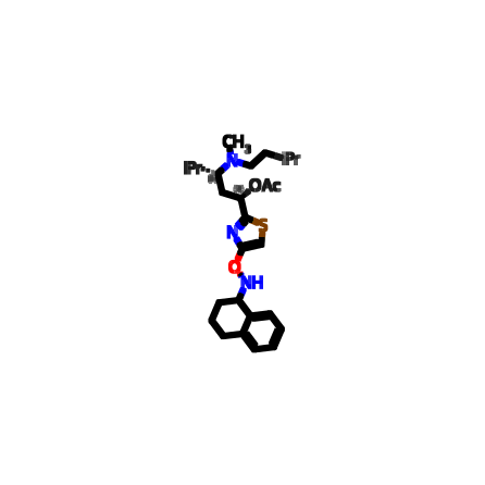 CC(=O)O[C@H](C[C@H](C(C)C)N(C)CCC(C)C)c1nc(ONC2CCCc3ccccc32)cs1